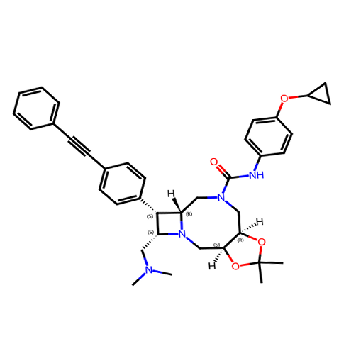 CN(C)C[C@@H]1[C@H](c2ccc(C#Cc3ccccc3)cc2)[C@@H]2CN(C(=O)Nc3ccc(OC4CC4)cc3)C[C@H]3OC(C)(C)O[C@H]3CN12